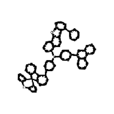 c1ccc(-c2cccc3oc4c5cccc(N(c6ccc(-c7cccc8c7-c7ccccc7C87c8ccccc8Oc8ccccc87)cc6)c6ccc(-c7cc8ccccc8c8ccccc78)cc6)c5ccc4c23)cc1